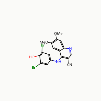 COc1cc2ncc(C#N)c(Nc3cc(Br)c(O)c(Br)c3)c2cc1OC